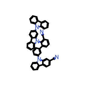 N#Cc1ccc2c3ccccc3n(-c3cccc(-c4cccc(C#N)c4-n4c5ccccc5c5ccc(-n6c7ccccc7c7ccccc76)cc54)c3)c2c1